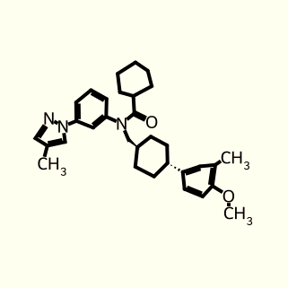 COc1ccc([C@H]2CC[C@H](CN(C(=O)C3CCCCC3)c3cccc(-n4cc(C)cn4)c3)CC2)cc1C